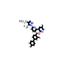 Cc1ccc(-c2ccc(COc3ncc(C)cc3-c3cccc(-n4ncc(C(=O)O)c4C(F)(F)F)n3)c(C)c2)cc1